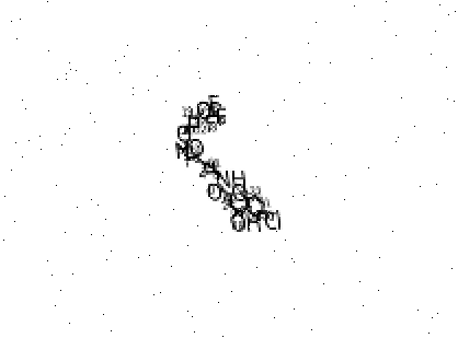 O=C(NC12CC(c3cnc(OC4CC(OC(F)(F)F)C4)o3)(C1)C2)[C@@H]1C[C@@H](O)c2cc(Cl)ccc2O1